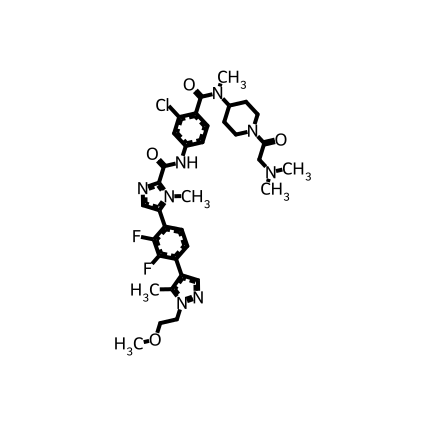 COCCn1ncc(-c2ccc(-c3cnc(C(=O)Nc4ccc(C(=O)N(C)C5CCN(C(=O)CN(C)C)CC5)c(Cl)c4)n3C)c(F)c2F)c1C